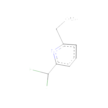 COCc1[c]ccc(C(F)F)n1